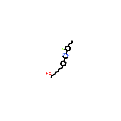 C=CCc1ccc(-c2ncc(-c3ccc(C=CCCCC(C)O)cc3)cn2)c(F)c1